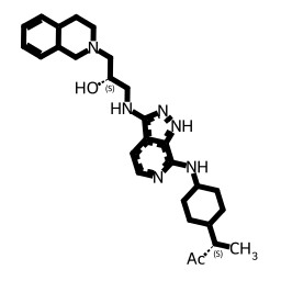 CC(=O)[C@@H](C)C1CCC(Nc2nccc3c(NC[C@H](O)CN4CCC5C=CC=CC5C4)n[nH]c23)CC1